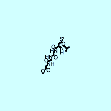 COC(=O)CNC(=O)CNC(=O)CNC(=O)C(CCSC)NC(=O)C(C)C